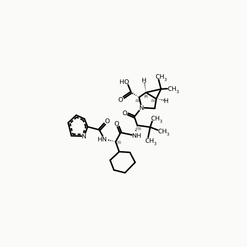 CC(C)(C)[C@H](NC(=O)[C@@H](NC(=O)c1ccccn1)C1CCCCC1)C(=O)N1C[C@H]2[C@@H]([C@H]1C(=O)O)C2(C)C